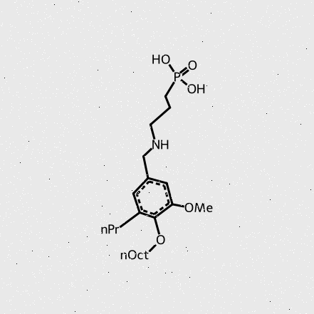 CCCCCCCCOc1c(CCC)cc(CNCCCP(=O)(O)O)cc1OC